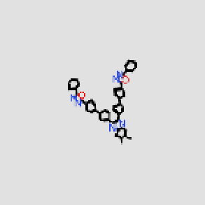 Cc1cc2nc(-c3ccc(-c4ccc(-c5nnc(-c6ccccc6)o5)cc4)cc3)c(-c3ccc(-c4ccc(-c5nnc(-c6ccccc6)o5)cc4)cc3)nc2cc1C